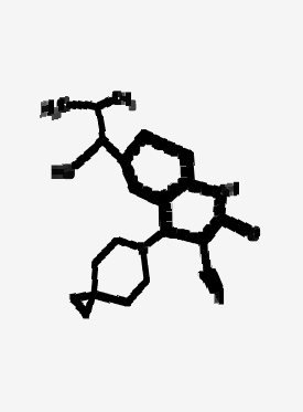 CC(C)C(O)c1ccc2[nH]c(=O)c(C#N)c(N3CCC4(CC3)CC4)c2c1